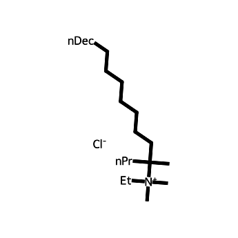 CCCCCCCCCCCCCCCCCC(C)(CCC)[N+](C)(C)CC.[Cl-]